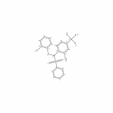 O=S(=O)(c1ccccc1)N(Cc1ccccc1F)c1ncc(C(F)(F)F)cc1Cl